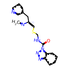 C=N/C(=C\SCNC(=O)n1nnc2ccccc21)Cc1cccnc1